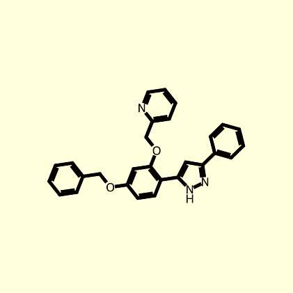 c1ccc(COc2ccc(-c3cc(-c4ccccc4)n[nH]3)c(OCc3ccccn3)c2)cc1